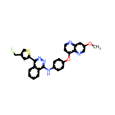 COc1cnc2c(Oc3ccc(Nc4nnc(-c5cc(CF)cs5)c5ccccc45)cc3)ccnc2c1